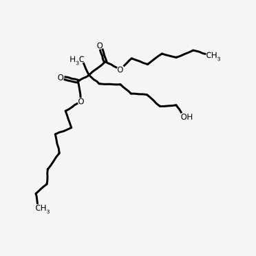 CCCCCCCCOC(=O)C(C)(CCCCCCO)C(=O)OCCCCCC